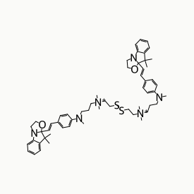 CN(CCC[N+](C)(C)CCSSCC[N+](C)(C)CCCN(C)c1ccc(C=CC23OCCN2c2ccccc2C3(C)C)cc1)c1ccc(C=CC23OCCN2c2ccccc2C3(C)C)cc1